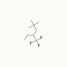 CCC(CC(C)(C)C)C(F)(F)F